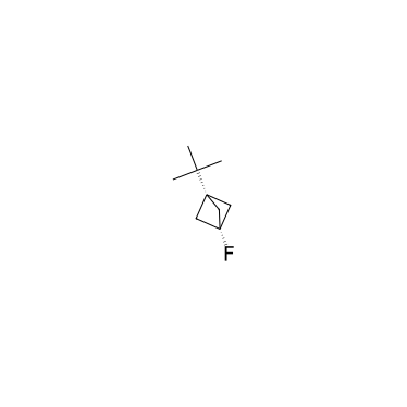 CC(C)(C)[C@]12C[C@](F)(C1)C2